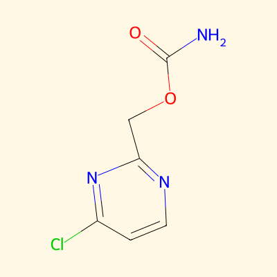 NC(=O)OCc1nccc(Cl)n1